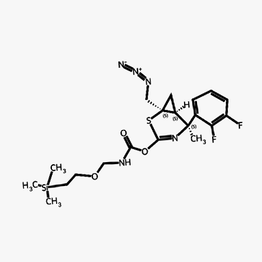 C[C@]1(c2cccc(F)c2F)N=C(OC(=O)NCOCC[Si](C)(C)C)S[C@@]2(CN=[N+]=[N-])C[C@H]21